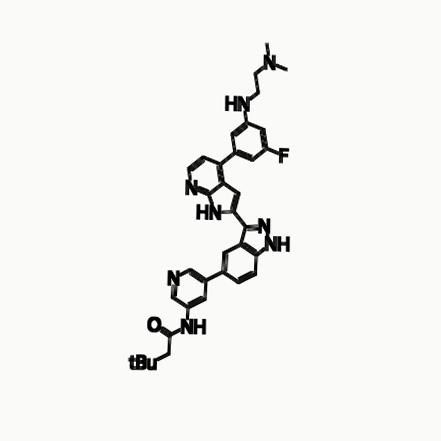 CN(C)CCNc1cc(F)cc(-c2ccnc3[nH]c(-c4n[nH]c5ccc(-c6cncc(NC(=O)CC(C)(C)C)c6)cc45)cc23)c1